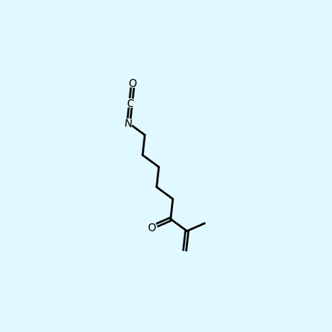 C=C(C)C(=O)CCCCCN=C=O